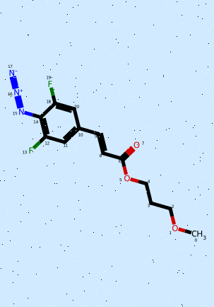 COCCCOC(=O)/C=C/c1cc(F)c(N=[N+]=[N-])c(F)c1